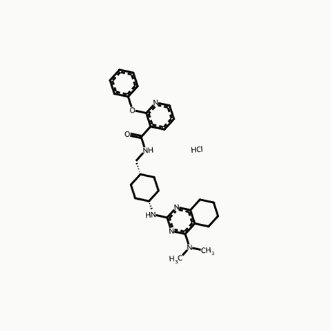 CN(C)c1nc(N[C@H]2CC[C@@H](CNC(=O)c3cccnc3Oc3ccccc3)CC2)nc2c1CCCC2.Cl